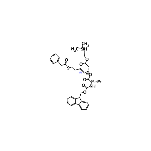 CC(C)[C@H](NC(=O)OCC1c2ccccc2-c2ccccc21)C(=O)O[C@H](/C=C/CCSC(=O)Cc1ccccc1)CC(=O)OCC[SiH](C)C